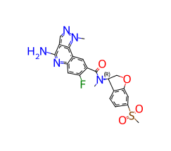 CN(C(=O)c1cc2c(cc1F)nc(N)c1cnn(C)c12)[C@H]1COc2cc(S(C)(=O)=O)ccc21